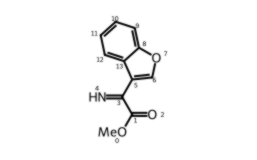 COC(=O)C(=N)c1coc2ccccc12